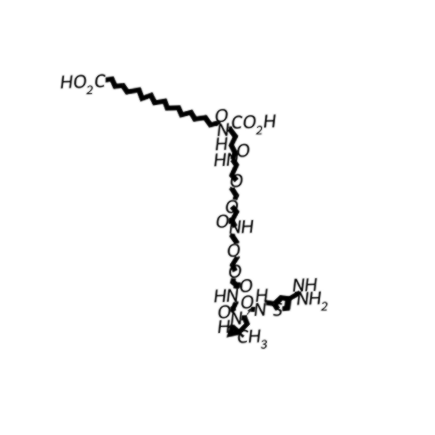 C[C@@]12C[C@@H]1N(C(=O)CNC(=O)COCCOCCNC(=O)COCCOCCNC(=O)CC[C@H](NC(=O)CCCCCCCCCCCCCCCCC(=O)O)C(=O)O)[C@H](C(=O)NCc1cc(C(=N)N)cs1)C2